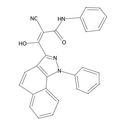 N#CC(C(=O)Nc1ccccc1)=C(O)c1nn(-c2ccccc2)c2c1ccc1ccccc12